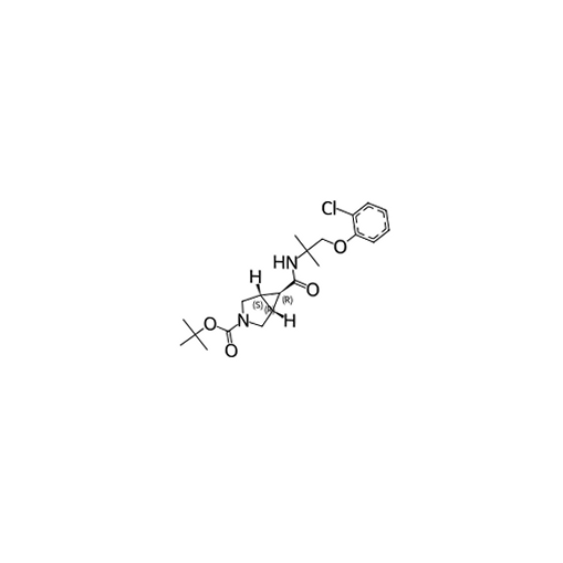 CC(C)(COc1ccccc1Cl)NC(=O)[C@H]1[C@@H]2CN(C(=O)OC(C)(C)C)C[C@@H]21